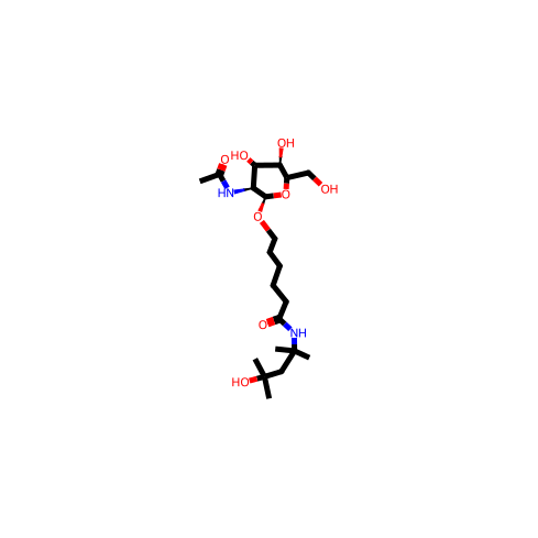 CC(=O)N[C@H]1C(O)[C@@H](O)C(CO)O[C@H]1OCCCCCC(=O)NC(C)(C)CC(C)(C)O